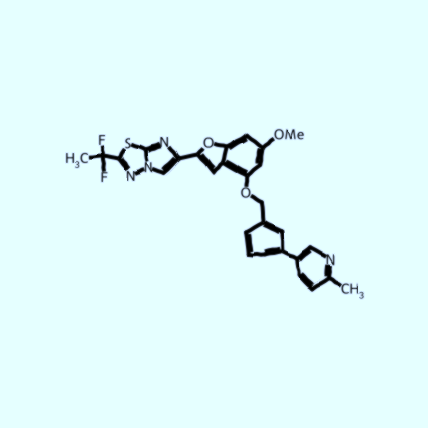 COc1cc(OCc2cccc(-c3ccc(C)nc3)c2)c2cc(-c3cn4nc(C(C)(F)F)sc4n3)oc2c1